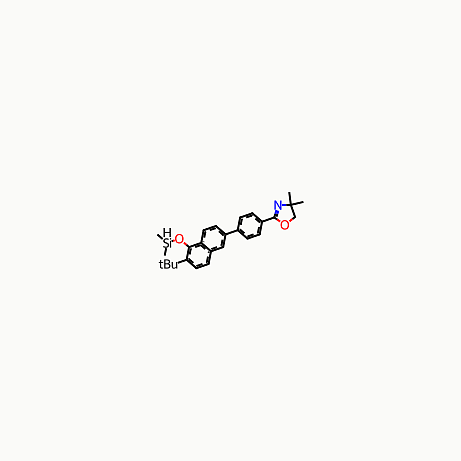 C[SiH](C)Oc1c(C(C)(C)C)ccc2cc(-c3ccc(C4=NC(C)(C)CO4)cc3)ccc12